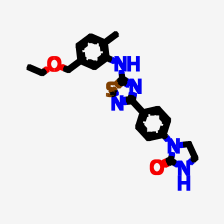 CCOCc1ccc(C)c(Nc2nc(-c3ccc(N4CCNC4=O)cc3)ns2)c1